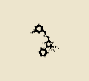 CC1(C)N=C(COCc2cccc(F)c2)N[C@@H]1c1ccccc1